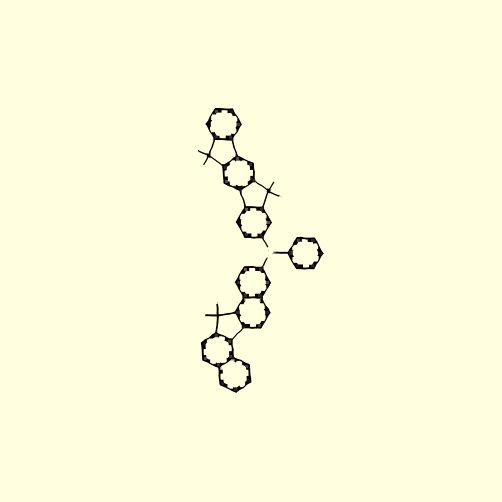 CC1(C)c2ccccc2-c2cc3c(cc21)-c1ccc(N(c2ccccc2)c2ccc4c5c(ccc4c2)-c2c(ccc4ccccc24)C5(C)C)cc1C3(C)C